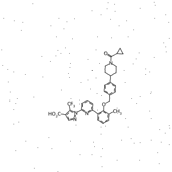 Cc1cccc(-c2cccc(-n3ncc(C(=O)O)c3C(F)(F)F)n2)c1OCc1ccc(C2CCN(C(=O)C3CC3)CC2)cc1